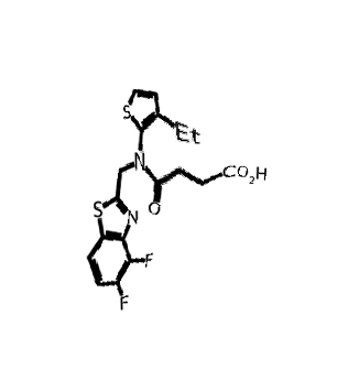 CCc1ccsc1N(Cc1nc2c(F)c(F)ccc2s1)C(=O)CCC(=O)O